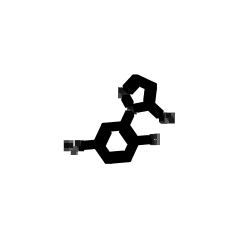 N#Cc1ccnn1-c1cc(N)ccc1Cl